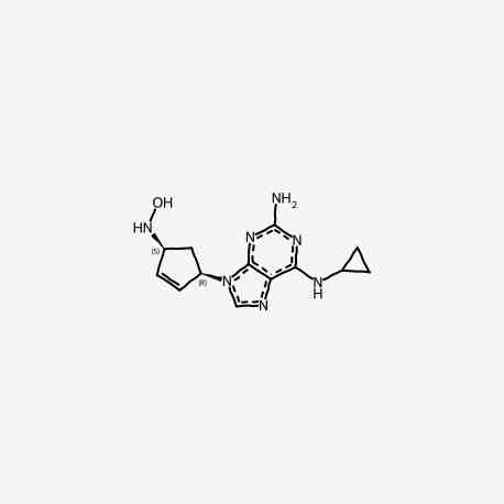 Nc1nc(NC2CC2)c2ncn([C@H]3C=C[C@@H](NO)C3)c2n1